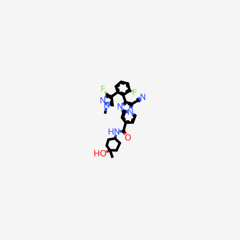 Cn1cc(-c2cccc(F)c2-c2nc3cc(C(=O)NC4CCC(C)(O)CC4)ccn3c2C#N)c(F)n1